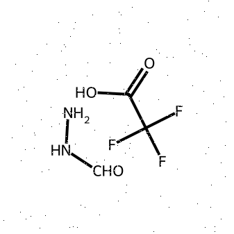 NNC=O.O=C(O)C(F)(F)F